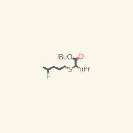 CCCC(SCCCC(C)F)C(=O)OCC(C)C